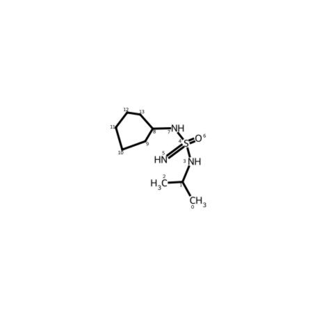 CC(C)NS(=N)(=O)NC1CCCCC1